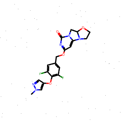 Cn1cc(Oc2c(F)cc(COc3cc4n(c(=O)n3)CC3OCCN43)cc2F)cn1